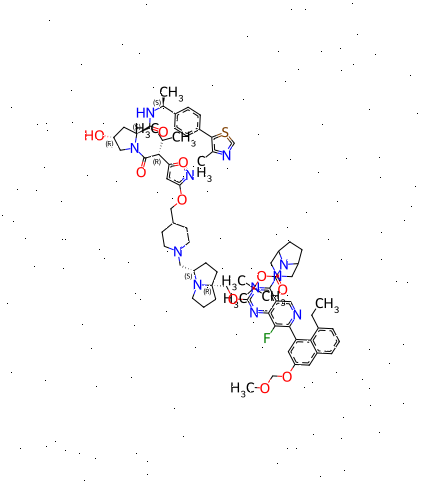 CCc1cccc2cc(OCOC)cc(-c3ncc4c(N5CC6CCC(C5)N6C(=O)OC(C)(C)C)nc(OC[C@]56CCCN5[C@H](CN5CCC(COc7cc([C@H](C(=O)N8C[C@H](O)C[C@H]8C(=O)N[C@@H](C)c8ccc(-c9scnc9C)cc8)C(C)C)on7)CC5)CC6)nc4c3F)c12